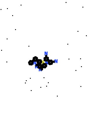 N#Cc1ccc2c(c1)c1cc(C#N)ccc1n2-c1cccc2c1Sc1ccccc1C21c2cccnc2-c2ncc(-n3c4ccccc4c4ccccc43)cc21